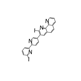 Ic1cccc(-c2ccc(-c3cc4ccc5cccnc5c4nc3I)cn2)n1